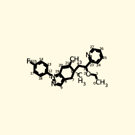 CCOC(C[C@@]1(C)Cc2cnn(-c3ccc(F)cc3)c2C=C1C)c1ccccn1